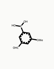 COc1cc(C=O)cc(P(O)O)c1